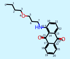 CCCCOCCCNc1cccc2c1C(=O)c1ccccc1C2=O